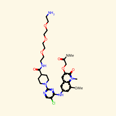 CNC(=O)COc1cc2cc(Nc3nc(N4CCC(C(=O)NCCOCCOCCOCCN)CC4)ncc3Cl)cc(OC)c2n(C)c1=O